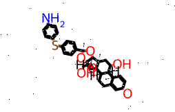 C[C@@]1(c2ccc(Sc3ccc(N)cc3)cc2)O[C@@H]2CC3[C@@H]4CCC5=CC(=O)C=C[C@]5(C)[C@H]4[C@@H](O)C[C@]3(C)[C@]2(C(=O)CO)O1